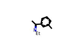 CC/N=C(/C)c1cccc(C)c1